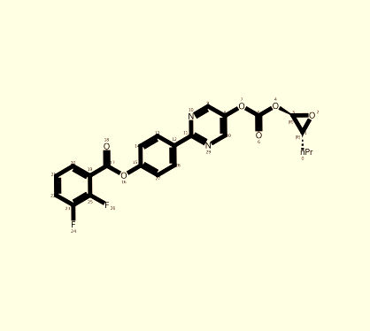 CCC[C@H]1O[C@@H]1OC(=O)Oc1cnc(-c2ccc(OC(=O)c3cccc(F)c3F)cc2)nc1